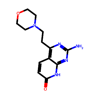 Nc1nc(CCN2CCOCC2)c2ccc(=O)[nH]c2n1